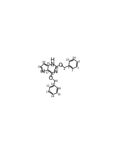 c1ccc(COc2nc(OCc3ccccc3)c3nccc-3[nH]2)cc1